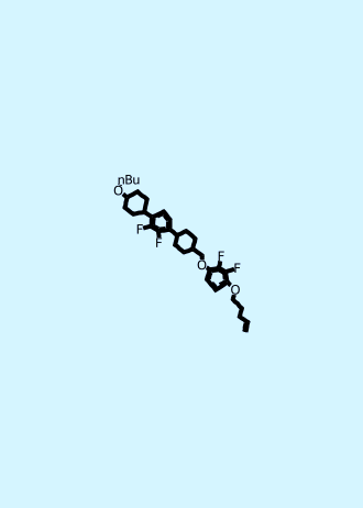 C=CCCCOc1ccc(OCC2CCC(c3ccc(C4CCC(OCCCC)CC4)c(F)c3F)CC2)c(F)c1F